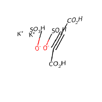 O=C(O)C#CC(=O)O.O=S(=O)([O-])O.O=S(=O)([O-])O.[K+].[K+]